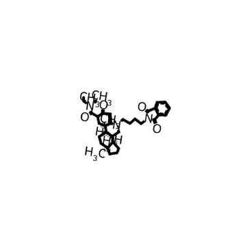 CCN(CC)C(=O)C1C[C@@]2(C)C(=CC1=O)N(CCCCN1C(=O)c3ccccc3C1=O)C[C@H]1[C@@H]3CCC[C@@]3(C)CC[C@@H]12